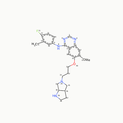 COc1cc2ncnc(Nc3ccc(F)c(C)c3)c2cc1OCCCN1CC2CCNC2C1